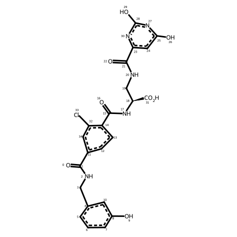 O=C(NCc1cccc(O)c1)c1ccc(C(=O)N[C@@H](CNC(=O)c2cc(O)nc(O)n2)C(=O)O)c(Cl)c1